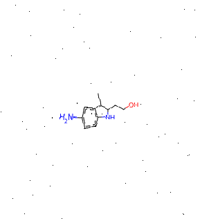 CC1c2cc(N)ccc2NC1CCO